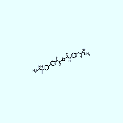 N=C(N)NCc1ccc(NC(=O)C23CC(C(=O)Nc4ccc(C5=CCC(NC(=N)N)CC5)cc4)(C2)C3)cc1